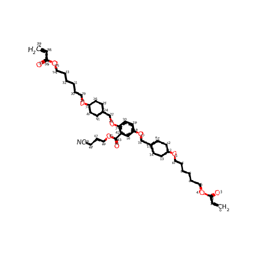 C=CC(=O)OCCCCCCOC1CCC(COc2ccc(OCC3CCC(OCCCCCCOC(=O)C=C)CC3)c(C(=O)OCCCC#N)c2)CC1